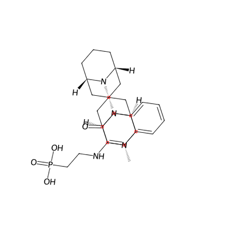 C[C@@H]1C[C@@H]2C[C@H](C1)C[C@@H](N1[C@@H]3CCC[C@H]1C[C@@H](n1c(=O)c(NCCP(=O)(O)O)nc4ccccc41)C3)C2